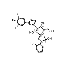 CC(C)(O)[C@@H](S[C@@H]1O[C@H](CO)[C@H](O)[C@H](n2cc(-c3cc(F)c(F)c(F)c3)nn2)[C@H]1O)c1ccccc1C(F)(F)F